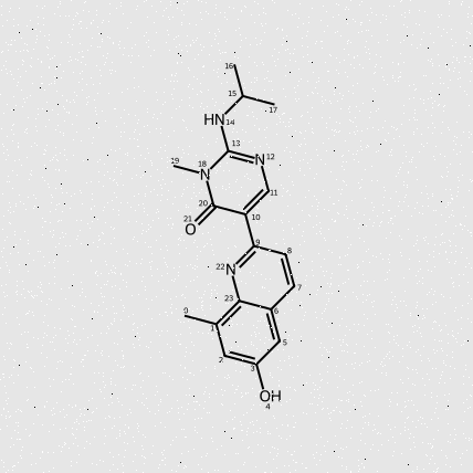 Cc1cc(O)cc2ccc(-c3cnc(NC(C)C)n(C)c3=O)nc12